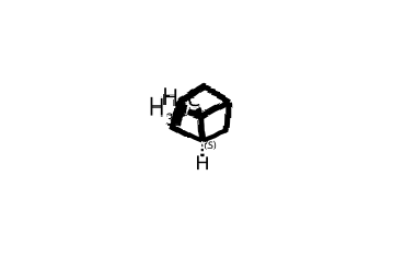 CC1(C)C2CC=C[C@@H]1C2